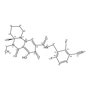 CCN1C(=O)c2c(O)c(=O)c(C(=O)NCc3c(F)ccc(C#N)c3F)cn2N2CCCC[C@@H]12